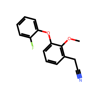 COc1c(CC#N)cccc1Oc1ccccc1F